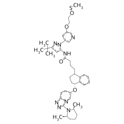 CSOCCOc1cncc(-n2nc(C(C)(C)C)cc2NC(=O)CCCC2CC[C@@H](Oc3ccc4nnc(N5[C@H](C)CCC[C@@H]5C)n4c3)c3ccccc32)c1